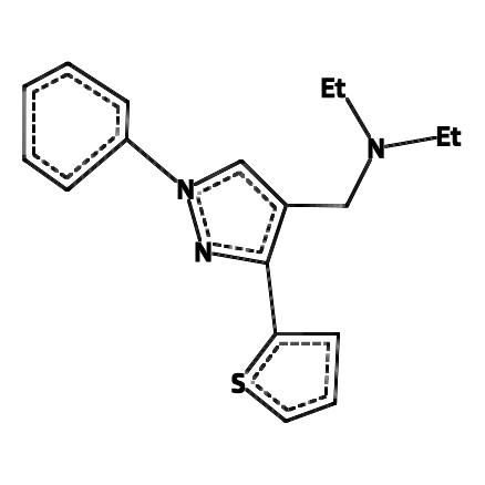 CCN(CC)Cc1cn(-c2ccccc2)nc1-c1cccs1